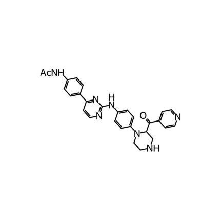 CC(=O)Nc1ccc(-c2ccnc(Nc3ccc(N4CCNCC4C(=O)c4ccncc4)cc3)n2)cc1